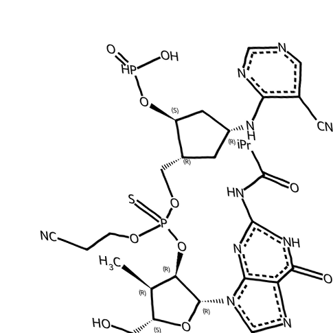 CC(C)C(=O)Nc1nc2c(ncn2[C@@H]2O[C@H](CO)[C@@H](C)[C@H]2OP(=S)(OCCC#N)OC[C@H]2C[C@@H](Nc3ncncc3C#N)C[C@@H]2O[PH](=O)O)c(=O)[nH]1